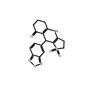 O=C1CCCC2=C1C(c1ccc3nsnc3c1)C1=C(CCS1(=O)=O)N2